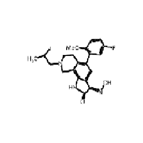 COc1ccc(F)cc1-c1cc2c(c3c1CCN(CC(C)I)C3)NC(=O)/C2=N/O